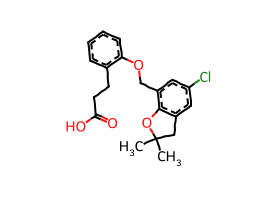 CC1(C)Cc2cc(Cl)cc(COc3ccccc3CCC(=O)O)c2O1